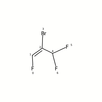 F/C=C(/Br)C(F)F